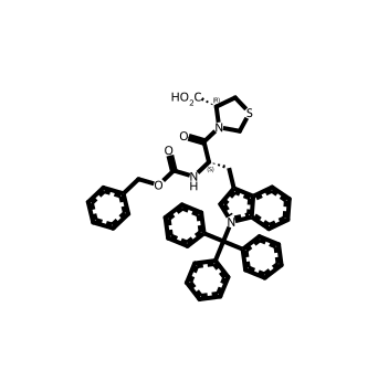 O=C(N[C@@H](Cc1cn(C(c2ccccc2)(c2ccccc2)c2ccccc2)c2ccccc12)C(=O)N1CSC[C@H]1C(=O)O)OCc1ccccc1